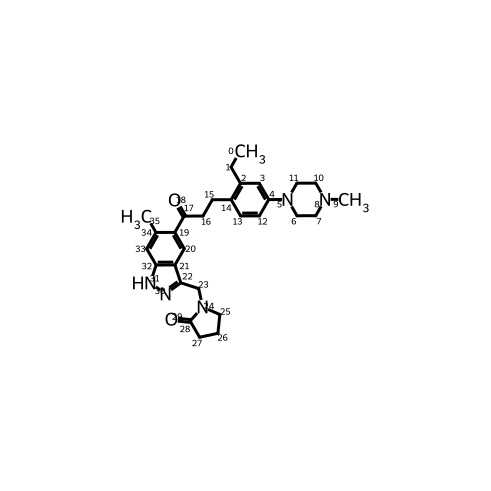 CCc1cc(N2CCN(C)CC2)ccc1CCC(=O)c1cc2c(CN3CCCC3=O)n[nH]c2cc1C